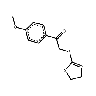 COc1ccc(C(=O)CSC2=NCCS2)cc1